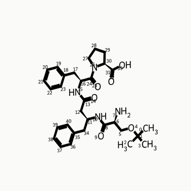 CC(C)(C)OC[C@H](N)C(=O)N[C@H](CC(=O)N[C@@H](Cc1ccccc1)C(=O)N1CCC[C@H]1C(=O)O)Cc1ccccc1